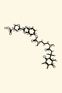 CC1=C(C)C(=O)C(C(C)(C)CC(=O)N(C)CCCN(C)C(=O)Oc2ccc3nc(C4=N[C@@H](C(=O)O)CO4)sc3c2)=C(C)C1=O